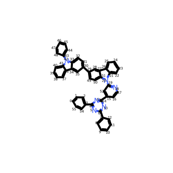 c1ccc(-c2nc(-c3ccccc3)nc(-c3ccnc(-n4c5ccccc5c5cc(-c6ccc7c(c6)c6ccccc6n7-c6ccccc6)ccc54)c3)n2)cc1